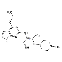 CCOc1nc(N/C(C=N)=C(\C)NC2CCN(C)CC2)nc2[nH]ccc12